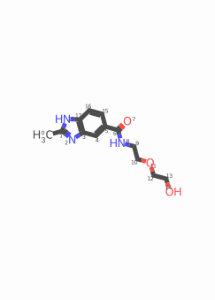 Cc1nc2cc(C(=O)NCCOCCO)ccc2[nH]1